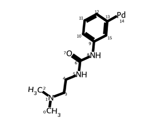 CN(C)CCNC(=O)Nc1ccc[c]([Pd])c1